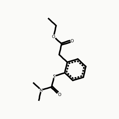 CCOC(=O)Cc1ccccc1SC(=O)N(C)C